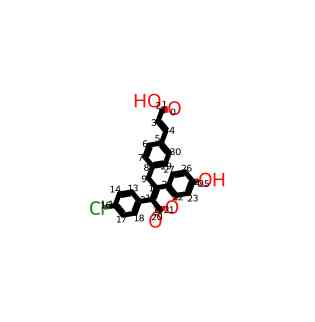 O=C(O)/C=C/c1ccc(Cc2c(-c3ccc(Cl)cc3)c(=O)oc3cc(O)ccc23)cc1